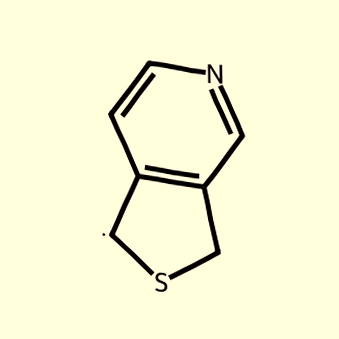 [CH]1SCc2cnccc21